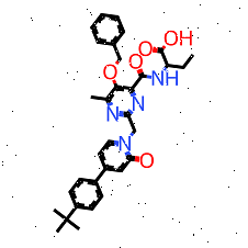 CCC(NC(=O)c1nc(Cn2ccc(-c3ccc(C(C)(C)C)cc3)cc2=O)nc(C)c1OCc1ccccc1)C(=O)O